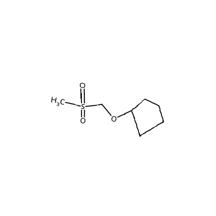 CS(=O)(=O)COC1CCCC1